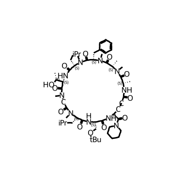 CC(C)C[C@H]1C(=O)N[C@@H](COC(C)(C)C)C(=O)N[C@H](C(=O)N2CCCCC2)CCC(=O)N[C@@H](C)C(=O)N(C)[C@@H](C)C(=O)N(C)[C@@H](Cc2ccccc2)C(=O)N(C)[C@@H](CC(C)C)C(=O)N[C@@H]([C@@H](C)O)C(=O)N(C)CC(=O)N1C